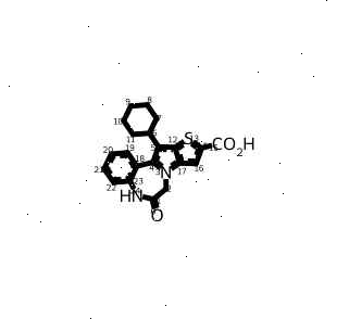 O=C1Cn2c(c(C3CCCCC3)c3sc(C(=O)O)cc32)-c2ccccc2N1